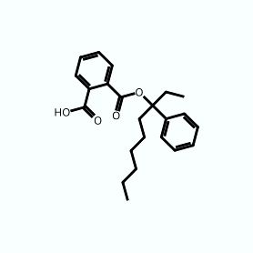 CCCCCCC(CC)(OC(=O)c1ccccc1C(=O)O)c1ccccc1